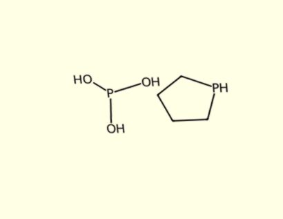 C1CCPC1.OP(O)O